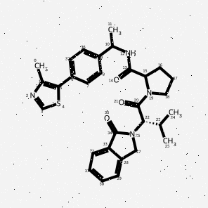 Cc1ncsc1-c1ccc(C(C)NC(=O)C2CCCN2C(=O)[C@H](C(C)C)N2Cc3ccccc3C2=O)cc1